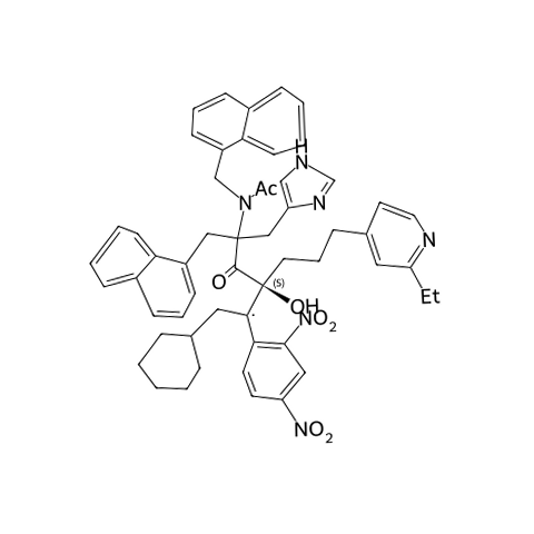 CCc1cc(CCC[C@](O)([C](CC2CCCCC2)c2ccc([N+](=O)[O-])cc2[N+](=O)[O-])C(=O)C(Cc2c[nH]cn2)(Cc2cccc3ccccc23)N(Cc2cccc3ccccc23)C(C)=O)ccn1